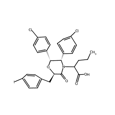 CCCC(C(=O)O)N1C(=O)[C@@H](Cc2ccc(I)cc2)O[C@H](c2ccc(Cl)cc2)[C@@H]1c1ccc(Cl)cc1